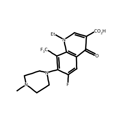 CCn1cc(C(=O)O)c(=O)c2cc(F)c(N3CCN(C)CC3)c(C(F)(F)F)c21